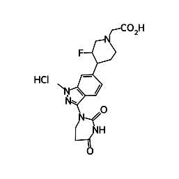 Cl.Cn1nc(N2CCC(=O)NC2=O)c2ccc(C3CCN(CC(=O)O)CC3F)cc21